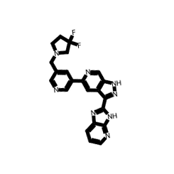 FC1(F)CCN(Cc2cncc(-c3cc4c(-c5nc6cccnc6[nH]5)n[nH]c4cn3)c2)C1